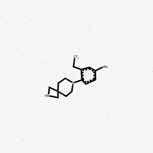 CC(C)(C)c1ccc(N2CCC3(CC2)CNC3)c(CC(F)(F)F)c1